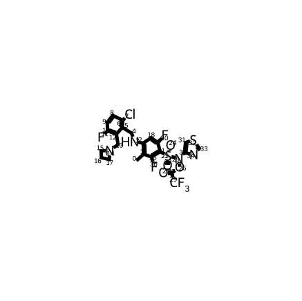 Cc1c(NCc2c(Cl)ccc(F)c2CN2CCC2)cc(F)c(S(=O)(=O)N(OC(=O)C(F)(F)F)c2cscn2)c1F